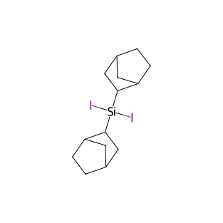 I[Si](I)(C1CC2CCC1C2)C1CC2CCC1C2